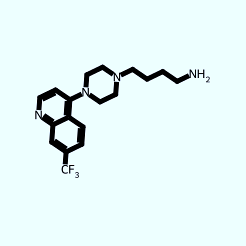 NCCCCN1CCN(c2ccnc3cc(C(F)(F)F)ccc23)CC1